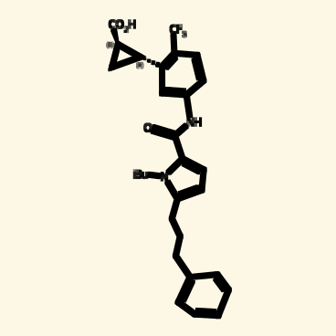 CCC(C)n1c(CCCc2ccccc2)ccc1C(=O)Nc1ccc(C(F)(F)F)c([C@@H]2C[C@H]2C(=O)O)c1